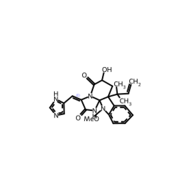 C=CC(C)(C)C12CC(O)C(=O)N3/C(=C/c4cnc[nH]4)C(=O)NC31N(OC)c1ccccc12